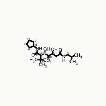 CC(C)CNC(=O)C[C@H](O)C(=O)N(O)[C@H](C(=O)NC1CCCC1)C(C)(C)C